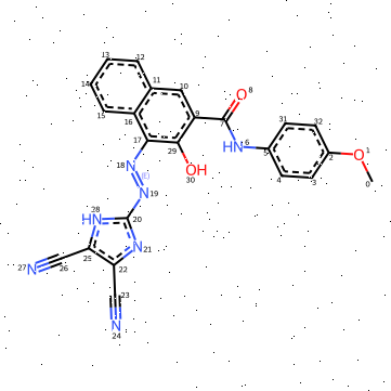 COc1ccc(NC(=O)c2cc3ccccc3c(/N=N/c3nc(C#N)c(C#N)[nH]3)c2O)cc1